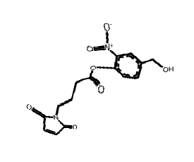 O=C(CCCN1C(=O)C=CC1=O)Oc1ccc(CO)cc1[N+](=O)[O-]